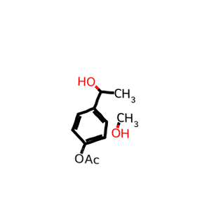 CC(=O)Oc1ccc(C(C)O)cc1.CO